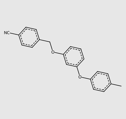 Cc1ccc(Oc2cccc(OCc3ccc(C#N)cc3)c2)cc1